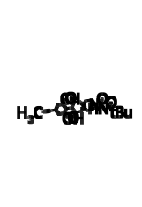 CC#Cc1cc(C)c(C2C(=O)CC3(CCN(C(=O)NC(=O)C(C)(C)C)CC3)CC2=O)c(O)c1